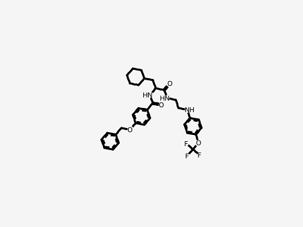 O=C(NC(CC1CCCCC1)C(=O)NCCNc1ccc(OC(F)(F)F)cc1)c1ccc(OCc2ccccc2)cc1